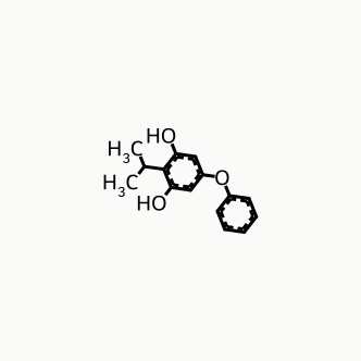 CC(C)c1c(O)cc(Oc2ccccc2)cc1O